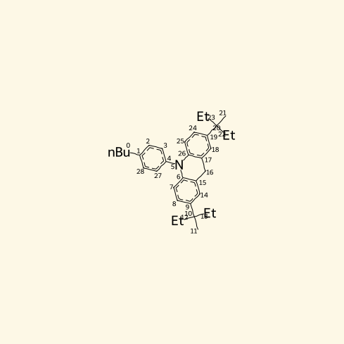 CCCCc1ccc(N2c3ccc(C(C)(CC)CC)cc3Cc3cc(C(C)(CC)CC)ccc32)cc1